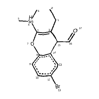 CCC1=[C]([SnH]([CH3])[CH3])Oc2ccc(Br)cc2C1C=O